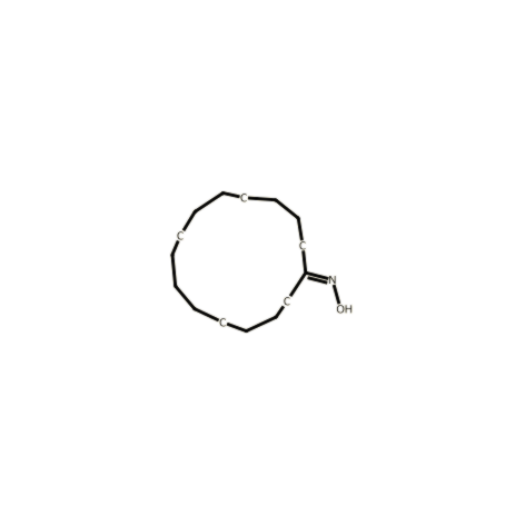 ON=C1CCCCCCCCCCCCCC1